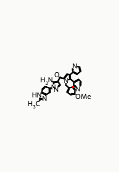 COc1ccc(Cn2c(C(=O)c3cnn(-c4ccc5[nH]c(C)nc5c4)c3N)cc(-c3cccnc3)c2-c2cccnc2)cc1